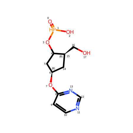 O=[PH](O)OC1C[C@H](Oc2ccncn2)C[C@@H]1CO